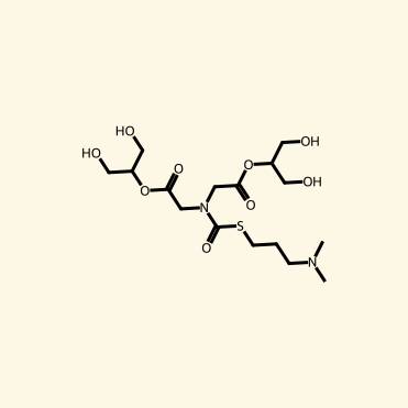 CN(C)CCCSC(=O)N(CC(=O)OC(CO)CO)CC(=O)OC(CO)CO